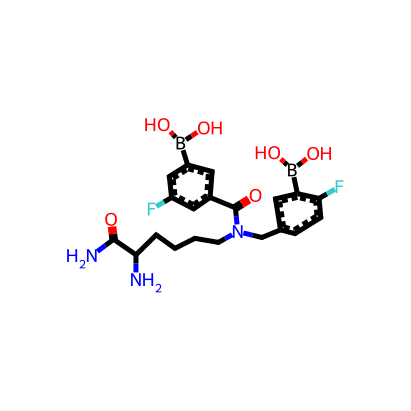 NC(=O)C(N)CCCCN(Cc1ccc(F)c(B(O)O)c1)C(=O)c1cc(F)cc(B(O)O)c1